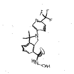 CC1(C)c2cccc(C(=O)NO)c2CN1c1ccc(C(F)(F)F)nc1